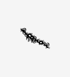 C=CC(=O)COc1ccc(/C=C(\C)C(=O)Oc2cc3ccc(OCOC(=O)C=C)c(F)c3c(F)c2F)cc1